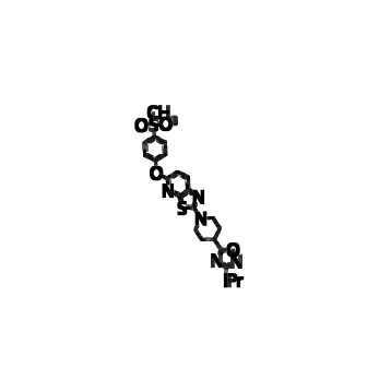 CC(C)c1noc(C2CCN(c3nc4ccc(Oc5ccc(S(C)(=O)=O)cc5)nc4s3)CC2)n1